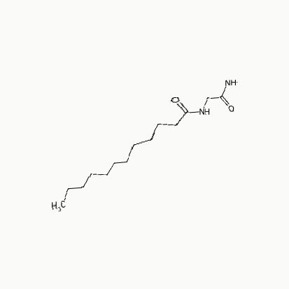 CCCCCCCCCCCC(=O)NCC([NH])=O